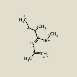 C=C(C)/N=C(\BC)C(C)CC